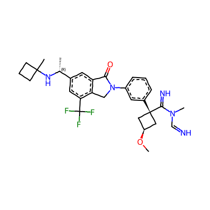 CO[C@H]1C[C@@](C(=N)N(C)C=N)(c2cccc(N3Cc4c(cc([C@@H](C)NC5(C)CCC5)cc4C(F)(F)F)C3=O)c2)C1